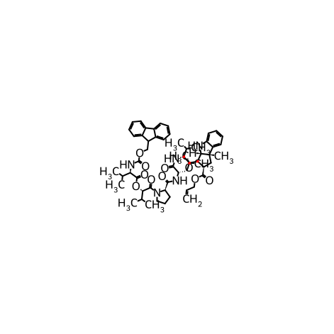 C=CCOC(=O)[C@@H]1C[C@@]2(C)c3ccccc3N[C@H]2C1C(=O)[C@H](NC(=O)[C@H](CC(C)C)NC(=O)[C@H]1CCCN1C(=O)[C@@H](OC(=O)[C@H](NC(=O)OCC1c2ccccc2-c2ccccc21)C(C)C)C(C)C)C(C)C